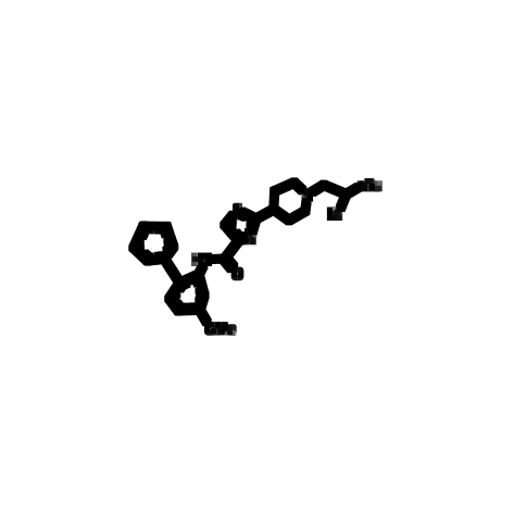 CCCCC(CC)CN1CCC(c2nc(C(=O)Nc3cc(OC)ccc3-c3ccccc3)cs2)CC1